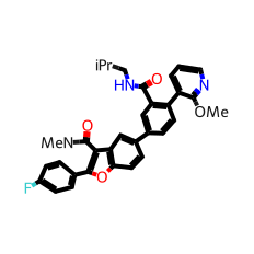 CNC(=O)c1c(-c2ccc(F)cc2)oc2ccc(-c3ccc(-c4cccnc4OC)c(C(=O)NCC(C)C)c3)cc12